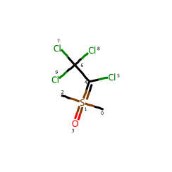 CS(C)(=O)=C(Cl)C(Cl)(Cl)Cl